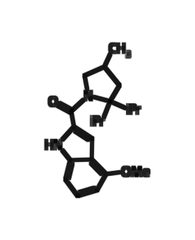 COc1cccc2[nH]c(C(=O)N3CC(C)CC3(C(C)C)C(C)C)cc12